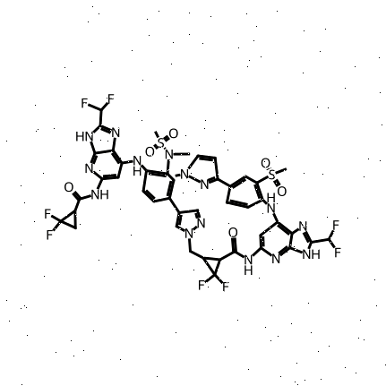 CN(c1cc(-c2cnn(CC3C(C(=O)Nc4cc(Nc5ccc(-c6ccn(C)n6)cc5S(C)(=O)=O)c5nc(C(F)F)[nH]c5n4)C3(F)F)c2)ccc1Nc1cc(NC(=O)C2CC2(F)F)nc2[nH]c(C(F)F)nc12)S(C)(=O)=O